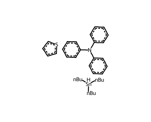 CCC[CH2][SnH]([CH2]CCC)[CH2]CCC.c1ccc(N(c2ccccc2)c2ccccc2)cc1.c1ccsc1